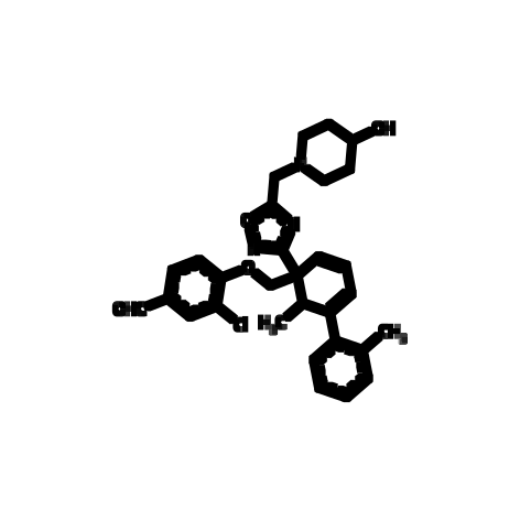 Cc1ccccc1C1=CC=CC(COc2ccc(C=O)cc2Cl)(c2noc(CN3CCC(O)CC3)n2)C1C